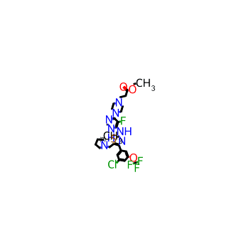 CCOC(=O)CCN1CCN(C2=NCNC(Nc3nc(-c4cc(Cl)cc(OC(F)(F)F)c4)c(CN4CCC[C@H]4C)s3)=C2F)CC1